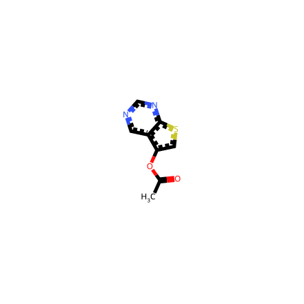 CC(=O)Oc1csc2ncncc12